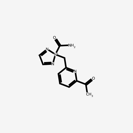 CC(=O)c1cccc(C[N+]2(C(N)=O)N=[C]C=N2)n1